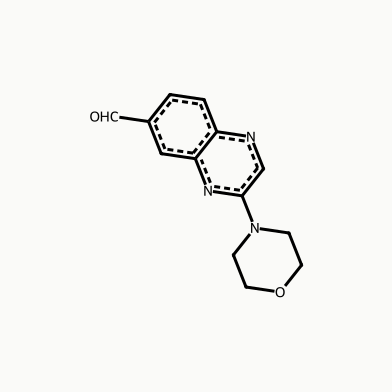 O=Cc1ccc2ncc(N3CCOCC3)nc2c1